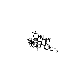 CC(C)c1nc2c(c3c1[C@@H](c1ccc(C(F)(F)F)cn1)OC31CCOCC1I)[C@@H](O[Si](C)(C)C(C)(C)C)CC(C)(C)C2